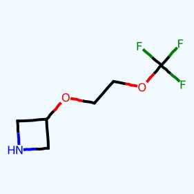 FC(F)(F)OCCOC1CNC1